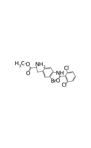 COC(=O)[C@@H](N)Cc1ccc(NC(=O)c2c(Cl)cccc2Cl)c(Br)c1